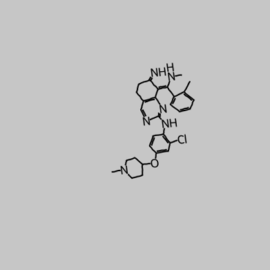 CN/C(=C1\C(=N)CCc2cnc(Nc3ccc(OC4CCN(C)CC4)cc3Cl)nc21)c1ccccc1C